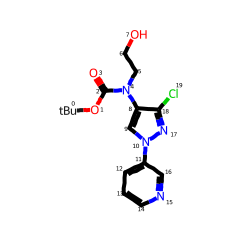 CC(C)(C)OC(=O)N(CCO)c1cn(-c2cccnc2)nc1Cl